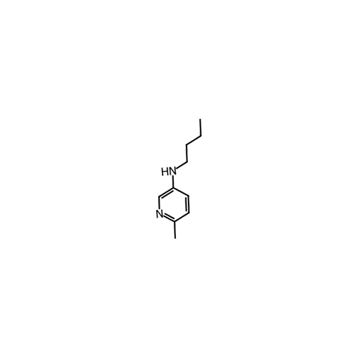 CCCCNc1ccc(C)nc1